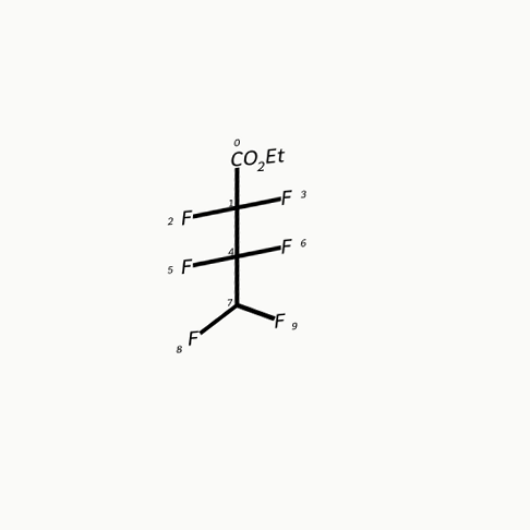 CCOC(=O)C(F)(F)C(F)(F)C(F)F